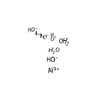 O.O.O.[Al+3].[OH-].[OH-].[OH-]